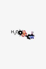 Cc1ccc(S(=O)(=O)OCc2ccn3ncc(I)c3c2)cc1